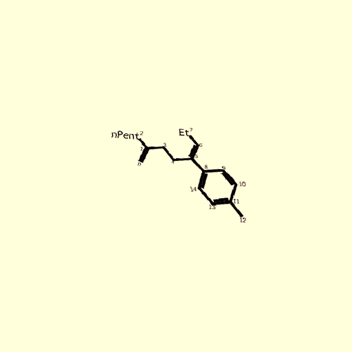 C=C(CCCCC)CC/C(=C\CC)c1ccc(C)cc1